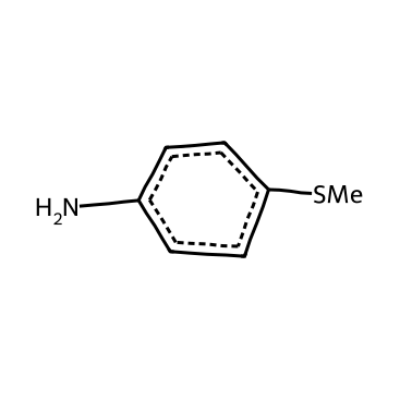 [CH2]Sc1ccc(N)cc1